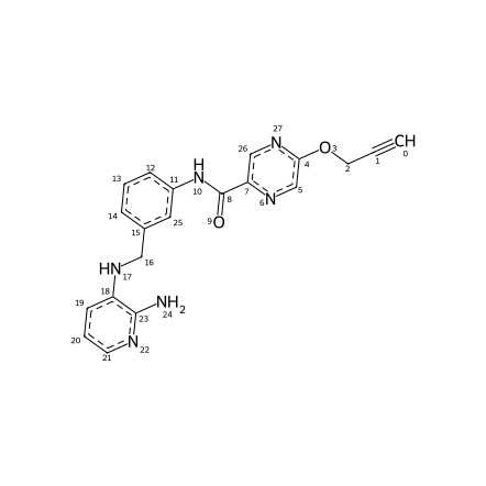 C#CCOc1cnc(C(=O)Nc2cccc(CNc3cccnc3N)c2)cn1